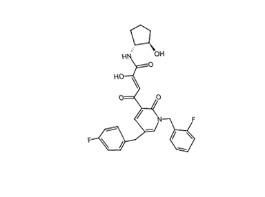 O=C(N[C@@H]1CCC[C@H]1O)/C(O)=C/C(=O)c1cc(Cc2ccc(F)cc2)cn(Cc2ccccc2F)c1=O